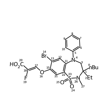 CCCCC1(CC)CN(c2ccccc2)c2cc(Br)c(O/C=C(\F)C(=O)O)cc2S(=O)(=O)N1C